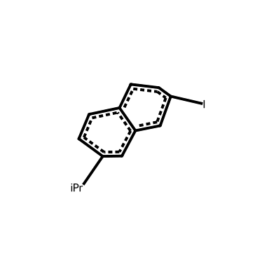 CC(C)c1ccc2ccc(I)cc2c1